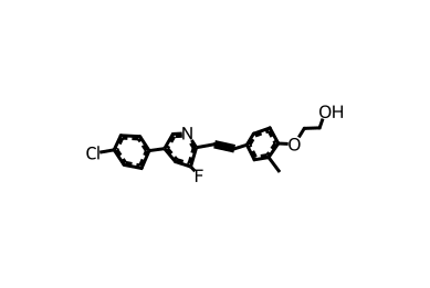 Cc1cc(C#Cc2ncc(-c3ccc(Cl)cc3)cc2F)ccc1OCCO